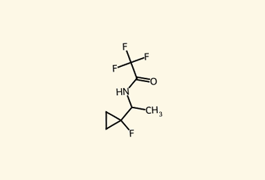 CC(NC(=O)C(F)(F)F)C1(F)CC1